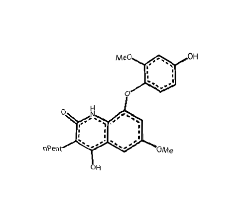 CCCCCc1c(O)c2cc(OC)cc(Oc3ccc(O)cc3OC)c2[nH]c1=O